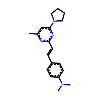 Cc1cc(N2CCCC2)nc(/C=C/c2ccc(N(C)C)cc2)n1